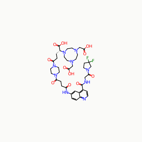 O=C(O)CN1CCN(CC(=O)O)CCN([C@H](CCC(=O)N2CCN(C(=O)CCC(=O)Nc3ccc4nccc(C(=O)NCC(=O)N5CCC(F)(F)C5)c4c3)CC2)C(=O)O)CC1